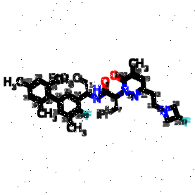 CCOC(=O)C[C@H](NC(=O)[C@H](CC(C)C)n1nc(CCN2CC(F)C2)cc(C)c1=O)c1cc(-c2c(C)cc(C)cc2C)cc(C)c1F